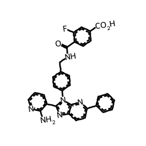 Nc1ncccc1-c1nc2ccc(-c3ccccc3)nc2n1-c1ccc(CNC(=O)c2ccc(C(=O)O)cc2F)cc1